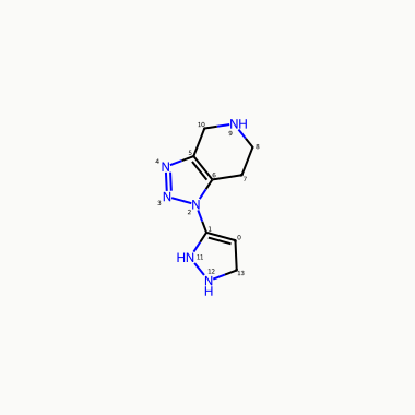 C1=C(n2nnc3c2CCNC3)NNC1